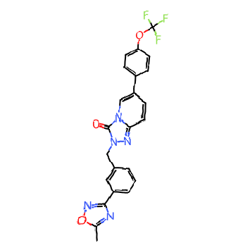 Cc1nc(-c2cccc(Cn3nc4ccc(-c5ccc(OC(F)(F)F)cc5)cn4c3=O)c2)no1